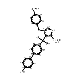 COc1ccc(Cn2nnc(C(=O)O)c2C(F)(F)c2ccc(-c3ccc(Cl)cc3)cc2)cc1